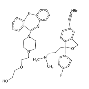 Br.CN(C)CCCC1(c2ccc(F)cc2)OCc2cc(C#N)ccc21.OCCOCCN1CCN(C2=Nc3ccccc3Sc3ccccc32)CC1